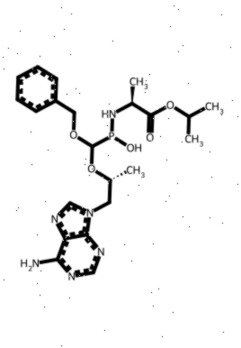 CC(C)OC(=O)[C@H](C)NP(O)C(OCc1ccccc1)O[C@H](C)Cn1cnc2c(N)ncnc21